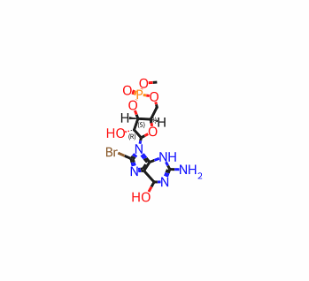 COP1(=O)OC[C@H]2OC(n3c(Br)nc4c3NC(N)=NC4O)[C@H](O)[C@@H]2O1